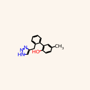 Cc1ccc(O)c(-c2ccccc2Cc2c[nH]nn2)c1